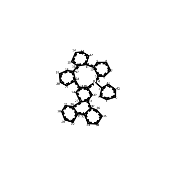 c1ccc(-n2c3ccccc3c3ccccc3c3ccccc3c3cc4c5ccccc5c5ccccc5c4cc32)cc1